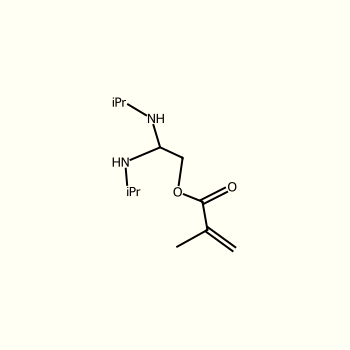 C=C(C)C(=O)OCC(NC(C)C)NC(C)C